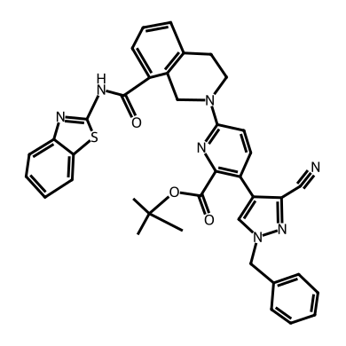 CC(C)(C)OC(=O)c1nc(N2CCc3cccc(C(=O)Nc4nc5ccccc5s4)c3C2)ccc1-c1cn(Cc2ccccc2)nc1C#N